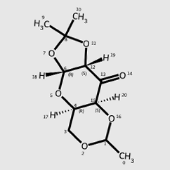 CC1OC[C@H]2O[C@@H]3OC(C)(C)O[C@@H]3C(=O)[C@H]2O1